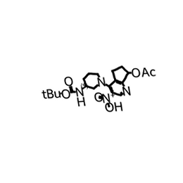 CC(=O)OC1CCc2c1ncc([N+](=O)O)c2N1CCC[C@H](NC(=O)OC(C)(C)C)C1